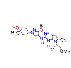 COC[C@H](C)n1c(C#N)cc2cnc(Nc3cn(C4CCC(C)(O)CC4)nc3OC(C)C)nc21